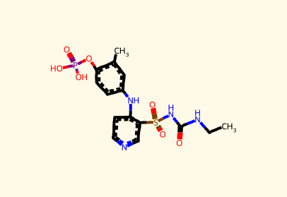 CCNC(=O)NS(=O)(=O)c1cnccc1Nc1ccc(OP(=O)(O)O)c(C)c1